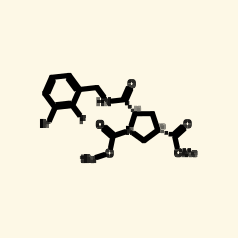 COC(=O)[C@H]1C[C@@H](C(=O)NCc2cccc(Br)c2F)N(C(=O)OC(C)(C)C)C1